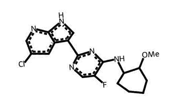 COC1CCCCC1Nc1nc(-c2c[nH]c3ncc(Cl)cc23)ncc1F